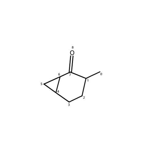 CC1CCC2CC2C1=O